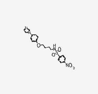 O=[N+]([O-])c1ccc(S(=O)(=O)NCCCCOc2ccc(-n3ccnc3)cc2)cc1